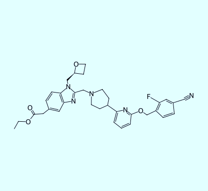 CCOC(=O)Cc1ccc2c(c1)nc(CN1CCC(c3cccc(OCc4ccc(C#N)cc4F)n3)CC1)n2C[C@@H]1CCO1